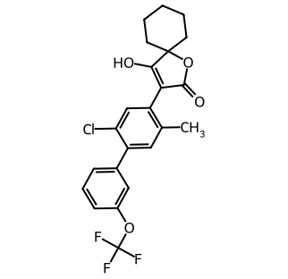 Cc1cc(-c2cccc(OC(F)(F)F)c2)c(Cl)cc1C1=C(O)C2(CCCCC2)OC1=O